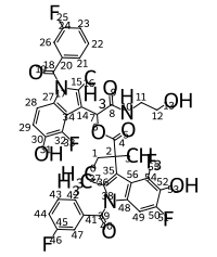 CCC(C)(C(=O)OC(C(=O)NCCO)c1c(C)n(C(=O)c2cccc(F)c2)c2ccc(O)c(F)c12)c1c(C)n(C(=O)c2cccc(F)c2)c2cc(F)c(O)c(F)c12